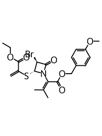 C=C(S[C@@H]1[C@@H](Br)C(=O)N1C(C(=O)OCc1ccc(OC)cc1)=C(C)C)C(=O)OCC